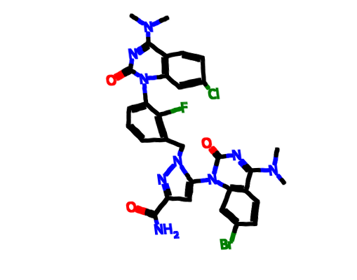 CN(C)c1nc(=O)n(-c2cccc(Cn3nc(C(N)=O)cc3-n3c(=O)nc(N(C)C)c4ccc(Br)cc43)c2F)c2cc(Cl)ccc12